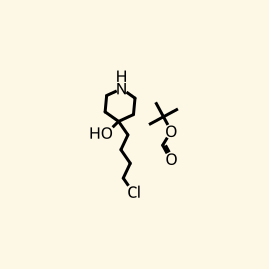 CC(C)(C)OC=O.OC1(CCCCCl)CCNCC1